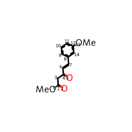 COC(=O)CC(=O)C=Cc1cccc(OC)c1